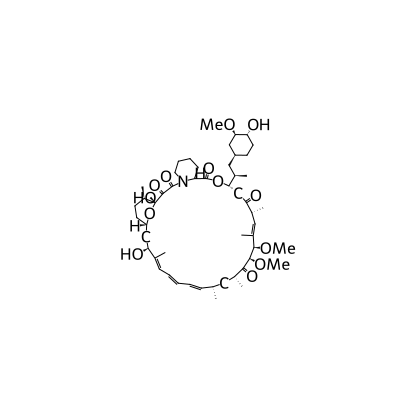 CO[C@@H]1/C(C)=C/[C@@H](C)C(=O)C[C@@H]([C@H](C)C[C@@H]2CC[C@@H](O)[C@H](OC)C2)OC(=O)[C@@H]2CCCCN2C(=O)C(=O)[C@]2(O)O[C@@H](CC[C@H]2C)C[C@H](O)/C(C)=C/C=C/C=C/[C@@H](C)C[C@@H](C)C(=O)[C@@H]1OC